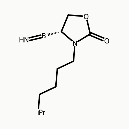 CC(C)CCCCN1C(=O)OC[C@H]1B=N